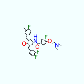 CCN(CC)CCOc1ccc(C(=O)NC2C/C(=C\c3ccc(F)c(C)c3)C(=O)/C(=C/c3ccc(F)c(F)c3)C2)cc1F